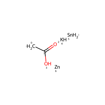 [CH2]C(=O)O.[KH].[SnH2].[Zn]